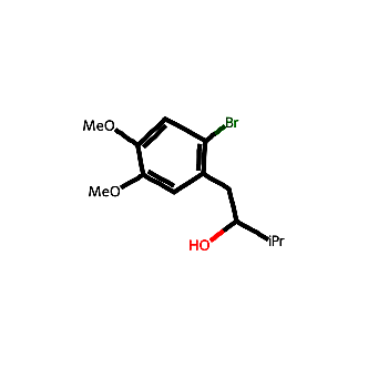 COc1cc(Br)c(CC(O)C(C)C)cc1OC